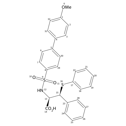 COc1ccc(-c2ccc(S(=O)(=O)N[C@H](C(=O)O)[C@@H](Sc3ccccc3)c3ccccc3)cc2)cc1